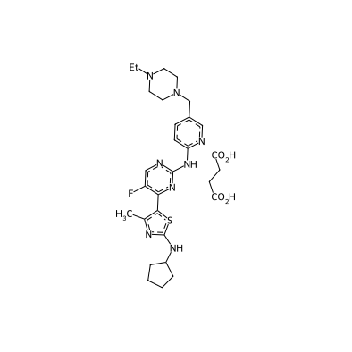 CCN1CCN(Cc2ccc(Nc3ncc(F)c(-c4sc(NC5CCCC5)nc4C)n3)nc2)CC1.O=C(O)CCC(=O)O